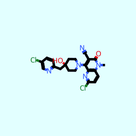 Cn1c(=O)c(C#N)c(N2CCC(O)(Cc3ccc(Cl)cn3)CC2)c2nc(Cl)ccc21